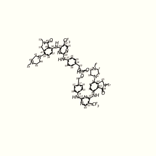 CN1CCN(c2ccc(Nc3nc(Nc4ccc(CO[PH](=O)OCc5ccc(Nc6ncc(C(F)(F)F)c(Nc7ccc(N8CCN(C)CC8)c8c7C(=O)N(C)C8)n6)cc5)cc4)ncc3C(F)(F)F)c3c2CN(C)C3=O)CC1